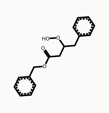 O=C(CC(Cc1ccccc1)OO)OCc1ccccc1